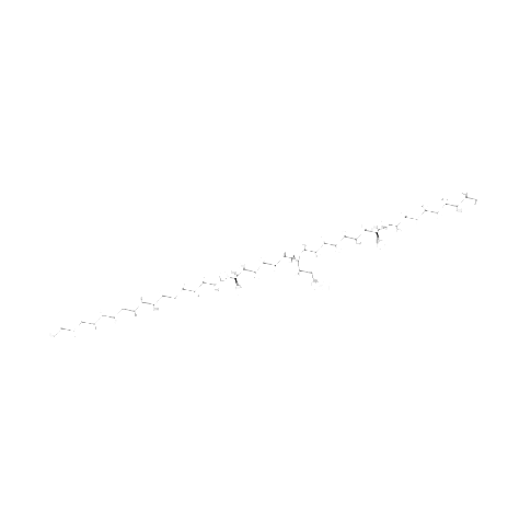 CCCCCCCCCCCCCCCCCOC(=O)CCCCCN(CCO)CCCCCCCC(=O)OCCCCCCCCC